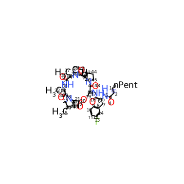 CCCCC/C=C/C(=O)N[C@@H](Cc1cccc(F)c1)C(=O)N[C@H]1COC(=O)[C@@H]2C[C@@H](C)CN2C(=O)[C@H](C)NC(=O)[C@H](C)N(C)C(=O)[C@@H]2CCCN2C1=O